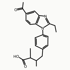 CCc1nc2cc(C(C)=O)ccc2n1-c1ccc(CC(C)C(C)C(=O)O)cc1